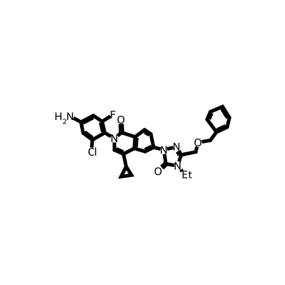 CCn1c(COCc2ccccc2)nn(-c2ccc3c(=O)n(-c4c(F)cc(N)cc4Cl)cc(C4CC4)c3c2)c1=O